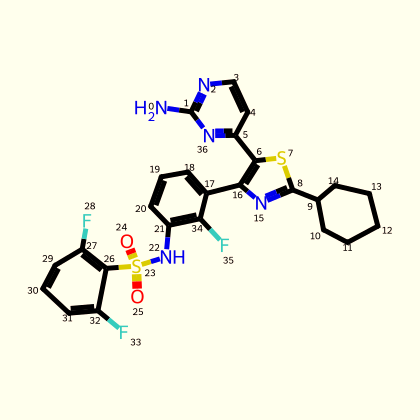 Nc1nccc(-c2sc(C3CCCCC3)nc2-c2cccc(NS(=O)(=O)c3c(F)cccc3F)c2F)n1